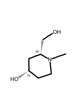 CN1CC[C@H](O)C[C@@H]1CO